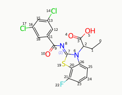 CCC(C(=O)O)n1/c(=N/C(=O)c2cc(Cl)cc(Cl)c2)sc2c(F)cccc21